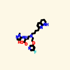 Cn1nccc1N[C@@H](CCN(CCCCc1ccc2c(n1)NCCC2)CCOc1cncc(F)c1)C(=O)O